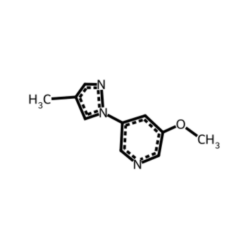 COc1cncc(-n2cc(C)cn2)c1